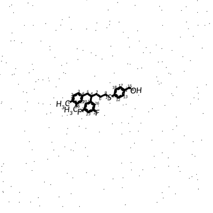 Cc1ccc(CC(CCCSc2ccc(CO)cc2)c2cc(F)cc(F)c2)cc1C